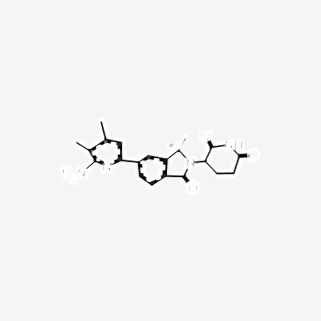 Cc1cc(-c2ccc3c(c2)[C@@H](C)N(C2CCC(=O)NC2=O)C3=O)nc(N)c1C